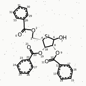 O=C(OC[C@@H]1SC(O)[C@H](OC(=O)c2ccccc2)[C@@H]1OC(=O)c1ccccc1)c1ccccc1